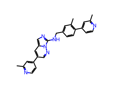 Cc1cc(-c2cnn3c(NCc4ccc(-c5ccnc(C)c5)c(C)c4)ncc3c2)ccn1